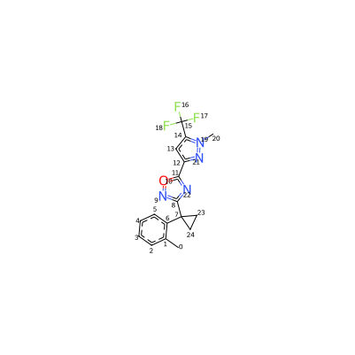 Cc1ccccc1C1(c2noc(-c3cc(C(F)(F)F)n(C)n3)n2)CC1